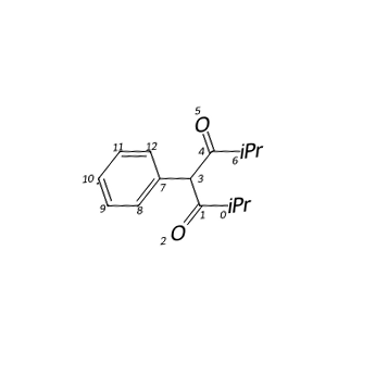 CC(C)C(=O)C(C(=O)C(C)C)c1cc[c]cc1